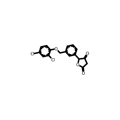 O=C1CC(=O)C(c2cccc(COc3ccc(Cl)cc3Cl)c2)O1